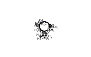 COc1cc2cc(c1Cl)N(C)C(=O)C[C@H](OC(=O)[C@H](C)N(C)C(=O)C(C)(C)CS)[C@]1(C)O[C@H]1[C@H](C)C1C[C@@](O)(NC(=O)O1)[C@H](OC)/C=C/C=C(\C)C2